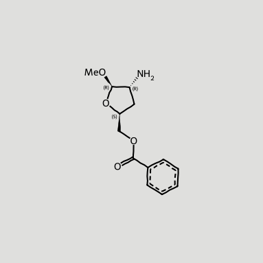 CO[C@@H]1O[C@H](COC(=O)c2ccccc2)C[C@H]1N